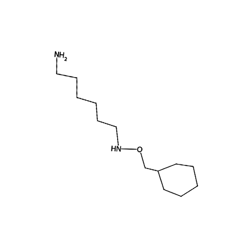 NCCCCCCNOCC1CCCCC1